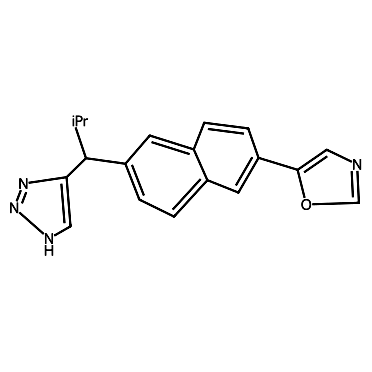 CC(C)C(c1ccc2cc(-c3cnco3)ccc2c1)c1c[nH]nn1